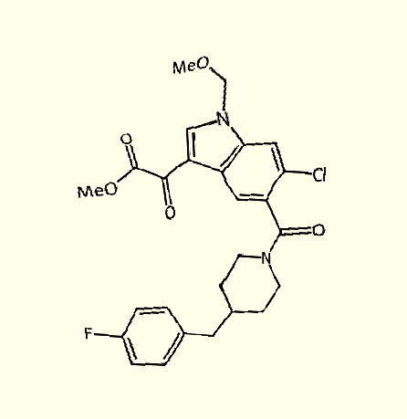 COCn1cc(C(=O)C(=O)OC)c2cc(C(=O)N3CCC(Cc4ccc(F)cc4)CC3)c(Cl)cc21